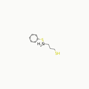 SCCC[SiH2]Sc1ccccc1